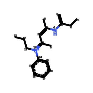 C=C(CC)N/C(C)=C\C(C)=[N+](/CCC)c1ccccc1